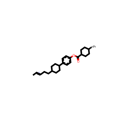 C/C=C/CCC1CCC(c2ccc(OC(=O)C3CCC(CCC)CC3)cc2)CC1